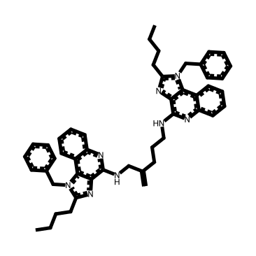 C=C(CCCNc1nc2ccccc2c2c1nc(CCCC)n2Cc1ccccc1)CNc1nc2ccccc2c2c1nc(CCCC)n2Cc1ccccc1